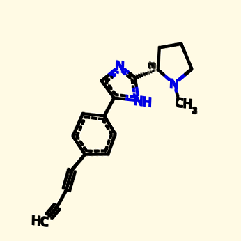 C#CC#Cc1ccc(-c2cnc([C@@H]3CCCN3C)[nH]2)cc1